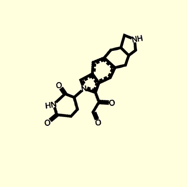 O=CC(=O)c1c2cc3c(cc2cn1C1CCC(=O)NC1=O)CC1CNCC1C3